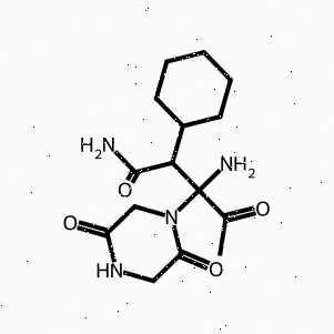 CC(=O)C(N)(C(C(N)=O)C1CCCCC1)N1CC(=O)NCC1=O